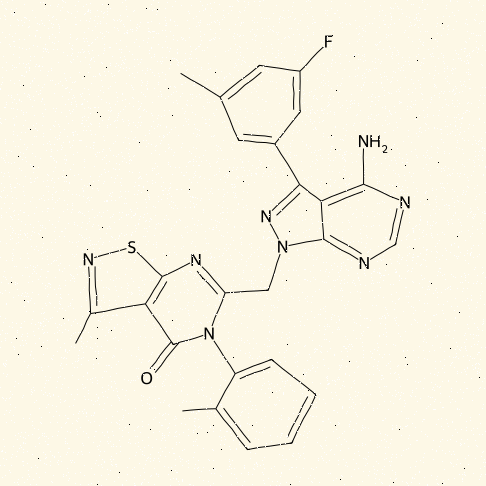 Cc1cc(F)cc(-c2nn(Cc3nc4snc(C)c4c(=O)n3-c3ccccc3C)c3ncnc(N)c23)c1